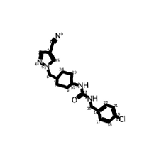 N#Cc1cnn(CC2CCC(NC(=O)NCc3ccc(Cl)cc3)CC2)c1